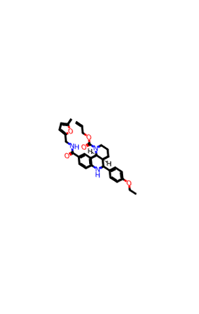 C=CCOC(=O)N1CCC[C@H]2C(c3ccc(OCC)cc3)Nc3ccc(C(=O)NCc4ccc(C)o4)cc3[C@H]21